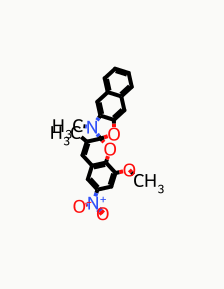 COc1cc([N+](=O)[O-])cc2c1OC1(Oc3cc4ccccc4cc3N1C)C(C)=C2